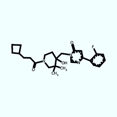 CC1(C)CN(C(=O)CCC2CCC2)CCC1(O)Cn1cnc(-c2ccccc2F)cc1=O